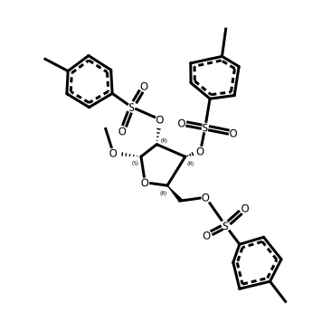 CO[C@H]1O[C@H](COS(=O)(=O)c2ccc(C)cc2)[C@@H](OS(=O)(=O)c2ccc(C)cc2)[C@H]1OS(=O)(=O)c1ccc(C)cc1